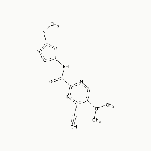 C#Cc1nc(C(=O)Nc2csc(SC)c2)ncc1N(C)C